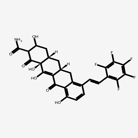 NC(=O)C1C(=O)[C@@]2(O)C(O)=C3C(=O)c4c(O)ccc(/C=C/c5c(F)c(F)c(F)c(F)c5F)c4C[C@H]3C[C@H]2CC1O